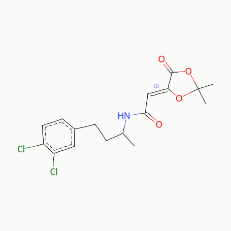 CC(CCc1ccc(Cl)c(Cl)c1)NC(=O)/C=C1\OC(C)(C)OC1=O